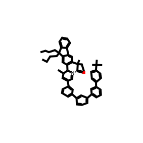 C=C1[N+]2=CC(c3cccc(-c4cccc(-c5cccc(-c6ccc(C(C)(C)C)cc6)c5)c4)c3)=CC(C)C2c2cc3c(cc2C1(C)CC)-c1ccccc1C3(CCCC)CCCC